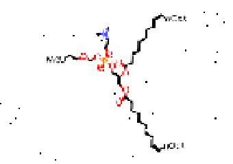 CCCCCCCC/C=C\CCCCCCCC(=O)OCC(COP(=O)(OCCN(C)C)OCOCCOC)OC(=O)CCCCCCC/C=C\CCCCCCCC